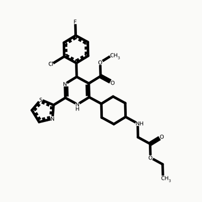 CCOC(=O)CNC1CCC(C2=C(C(=O)OC)C(c3ccc(F)cc3Cl)N=C(c3nccs3)N2)CC1